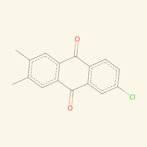 Cc1cc2c(cc1C)C(=O)c1cc(Cl)ccc1C2=O